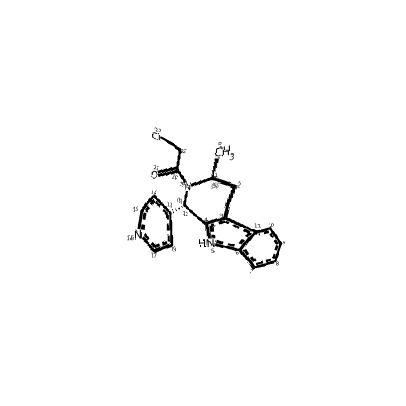 C[C@H]1Cc2c([nH]c3ccccc23)[C@H](c2ccncc2)N1C(=O)CCl